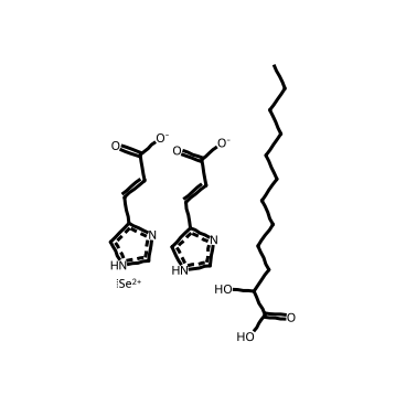 CCCCCCCCCCC(O)C(=O)O.O=C([O-])C=Cc1c[nH]cn1.O=C([O-])C=Cc1c[nH]cn1.[Se+2]